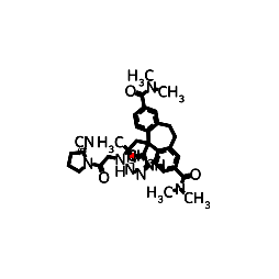 CN(C)C(=O)c1ccc2c(c1)CCc1cc(C(=O)N(C)C)ccc1C2(CC(C)(C)NCC(=O)N1CCC[C@H]1C#N)c1nnn[nH]1